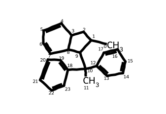 CC1CC2C=CC=CC2C1C(C)(c1ccccc1)c1ccccc1